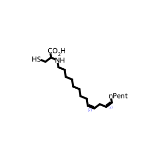 CCCCC/C=C\C/C=C\CCCCCCCCNC(CS)C(=O)O